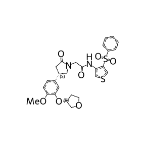 COc1ccc([C@@H]2CC(=O)N(CC(=O)Nc3cscc3S(=O)(=O)c3ccccc3)C2)cc1O[C@@H]1CCOC1